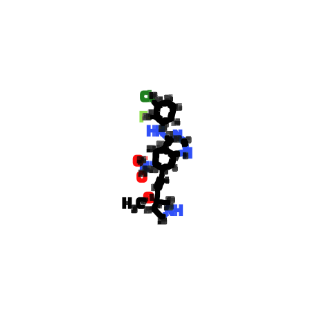 COC1(C#Cc2cc3ncnc(Nc4cccc(Cl)c4F)c3cc2[N+](=O)[O-])CCNC1